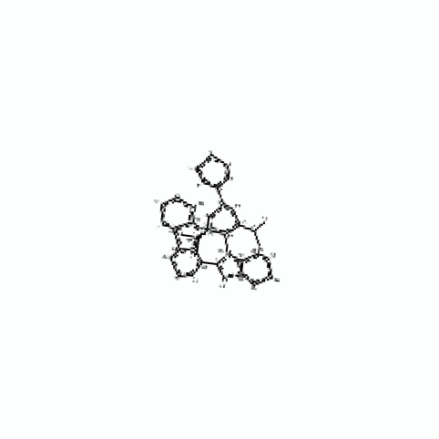 CC(C)c1cc(-c2ccccc2)cc(C(C)C)c1-n1c(-c2cccc3c2oc2ncccc23)nc2ccccc21